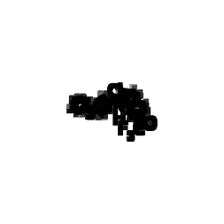 O=C(N1CCc2ccc(Cl)c(NCc3ccc(SC4CCCCC4)cc3)c2CC1)C(F)(F)F